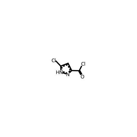 O=C(Cl)c1cc(Cl)[nH]n1